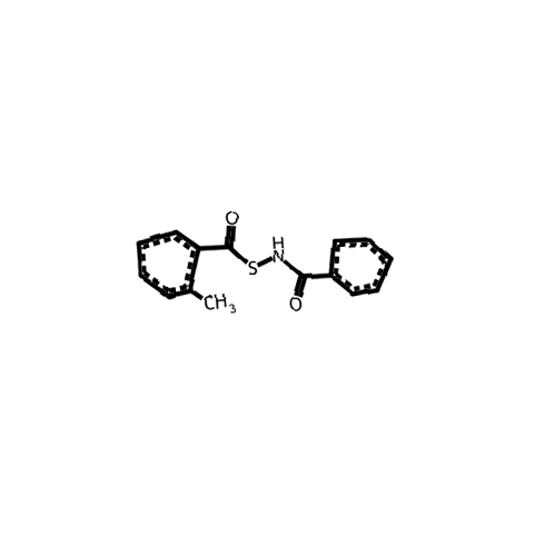 Cc1ccccc1C(=O)SNC(=O)c1ccccc1